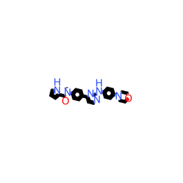 CN(C(=O)c1ccc[nH]1)c1ccc(-c2ccnc(Nc3ccc(N4CCOCC4)cc3)n2)cc1